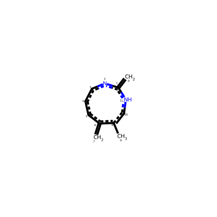 C=c1ncccc(=C)c(C)c[nH]1